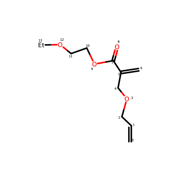 C=CCOCC(=C)C(=O)OCCOCC